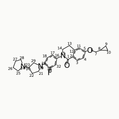 O=C1c2ccc(OCC3CC3)cc2CCN1c1ccc(N2CC[C@@H](N3CCCC3)C2)c(F)c1